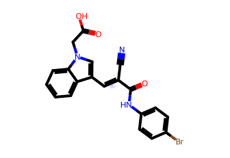 N#C/C(=C\c1cn(CC(=O)O)c2ccccc12)C(=O)Nc1ccc(Br)cc1